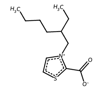 CCCCC(CC)C[n+]1ccsc1C(=O)[O-]